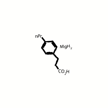 CCCc1ccc(CCC(=O)O)cc1.[MgH2]